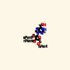 CCCCCOC[C@H]1O[C@@H](n2cnc3c2N=CNC3CO)[C@H](OCCCCC)[C@@H]1OCCCCC